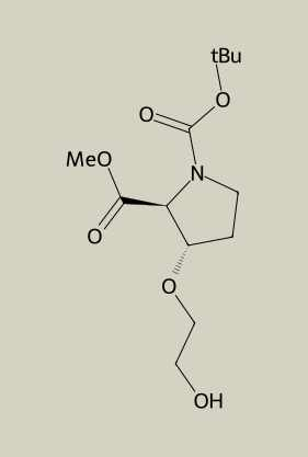 COC(=O)[C@@H]1[C@@H](OCCO)CCN1C(=O)OC(C)(C)C